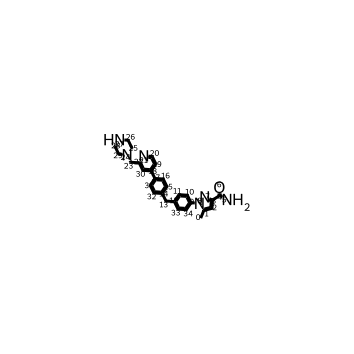 Cc1cc(C(N)=O)nn1-c1ccc(Cc2ccc(-c3ccnc(CN4CCNCC4)c3)cc2)cc1